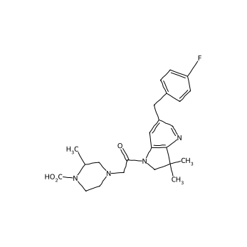 CC1CN(CC(=O)N2CC(C)(C)c3ncc(Cc4ccc(F)cc4)cc32)CCN1C(=O)O